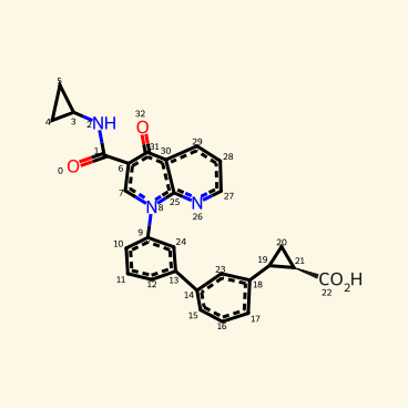 O=C(NC1CC1)c1cn(-c2cccc(-c3cccc(C4C[C@H]4C(=O)O)c3)c2)c2ncccc2c1=O